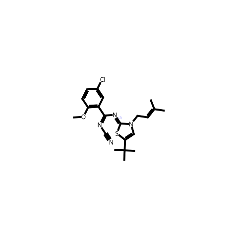 COc1ccc(Cl)cc1C(=NC#N)/N=c1\sc(C(C)(C)C)cn1CC=C(C)C